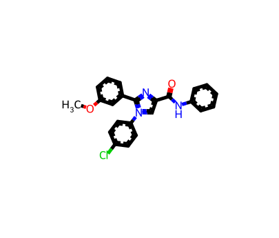 COc1cccc(-c2nc(C(=O)Nc3ccccc3)cn2-c2ccc(Cl)cc2)c1